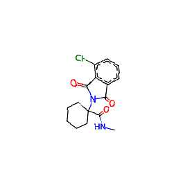 CNC(=O)C1(N2C(=O)c3cccc(Cl)c3C2=O)CCCCC1